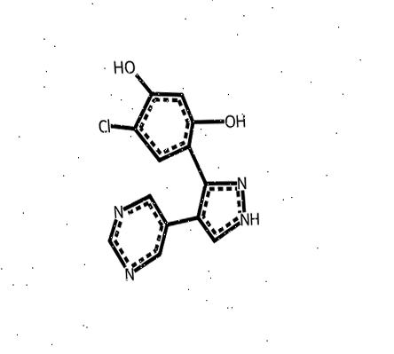 Oc1cc(O)c(-c2n[nH]cc2-c2cncnc2)cc1Cl